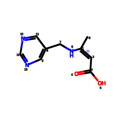 C/C(=C/C(=O)O)NCc1cncnc1